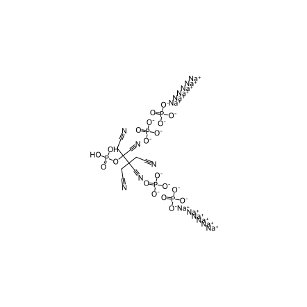 N#CCC(C#N)(CC#N)C(C#N)(CC#N)OP(=O)(O)O.O=P([O-])([O-])[O-].O=P([O-])([O-])[O-].O=P([O-])([O-])[O-].O=P([O-])([O-])[O-].[Na+].[Na+].[Na+].[Na+].[Na+].[Na+].[Na+].[Na+].[Na+].[Na+].[Na+].[Na+]